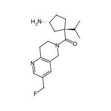 CC(C)[C@]1(C(=O)N2CCc3ncc(CF)cc3C2)CC[C@@H](N)C1